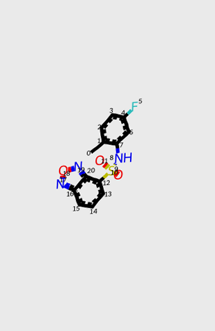 Cc1ccc(F)cc1NS(=O)(=O)c1cccc2nonc12